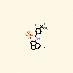 CC(C)(C)c1ccc(CNc2ccc3c4c(cccc24)CC3)cc1.CS(=O)(=O)O